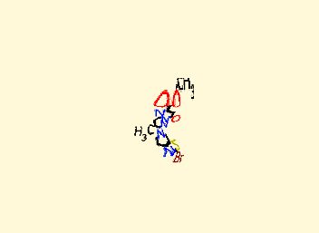 CCOC(=O)c1cc(=O)n2nc(N3CCc4nc(Br)sc4C3)c(C)cc2n1